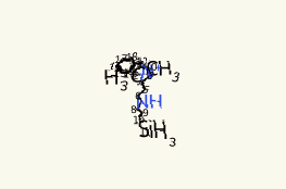 C[N+](C)(CCCCNCCC[SiH3])Cc1ccccc1